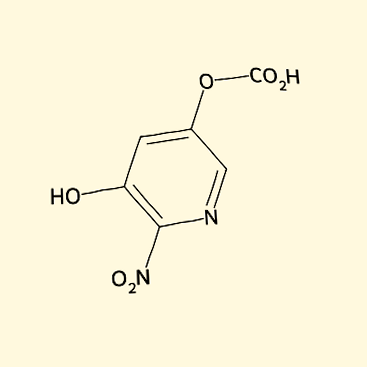 O=C(O)Oc1cnc([N+](=O)[O-])c(O)c1